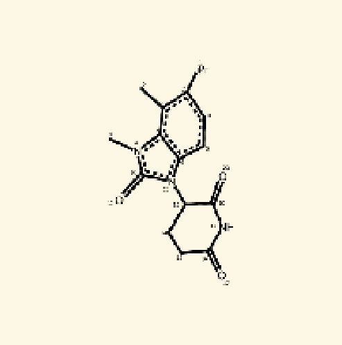 Cc1c(C(C)C)ccc2c1n(C)c(=O)n2C1CCC(=O)NC1=O